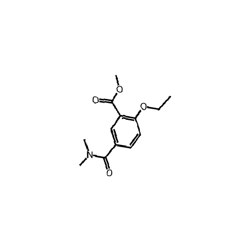 CCOc1ccc(C(=O)N(C)C)cc1C(=O)OC